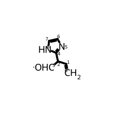 C=CC([C]=O)c1ncc[nH]1